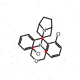 Clc1ccccc1C(c1ccccc1Cl)N1C2CCC1CC(N1CCOCC1)C2